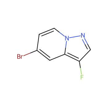 Fc1cnn2ccc(Br)cc12